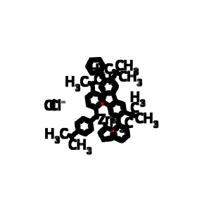 CC(C)c1ccc([C](c2ccc(C(C)C)cc2)=[Zr+2]([C]2=CC=CC2)[c]2c3c(cc(C(C)(C)C)c2-c2ccccc2)-c2cc(C(C)(C)C)c(-c4ccccc4)cc2C3)cc1.[Cl-].[Cl-]